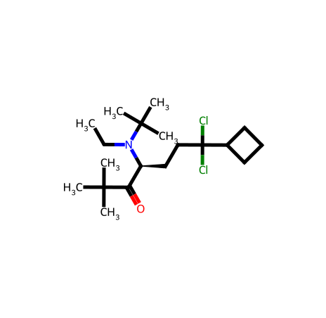 CCN([C@@H](CCC(Cl)(Cl)C1CCC1)C(=O)C(C)(C)C)C(C)(C)C